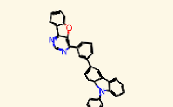 c1ccc(-n2c3ccccc3c3cc(-c4cccc(-c5ncnc6c5oc5ccccc56)c4)ccc32)cc1